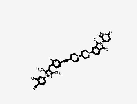 Cc1nn(-c2ccc(C#N)c(Cl)c2)c(C)c1Cc1ccc(C#CC2CCN(C3CCN(c4ccc5c(c4)C(=O)N(C4CCC(=O)NC4=O)C5=O)CC3)CC2)cc1F